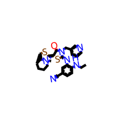 CCNc1ccc(C#N)cc1N=C1SC(=C2SC3=C4C3CCC[N+]24C)C(=O)N1Cc1cccnc1